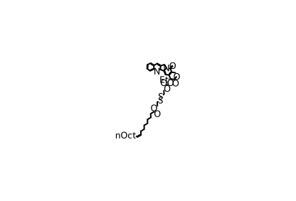 CCCCCCCC/C=C\CCCCCCCC(=O)OCCSSCCOC(=O)O[C@]1(CC)C(=O)OCc2c1cc1n(c2=O)Cc2cc3ccccc3nc2-1